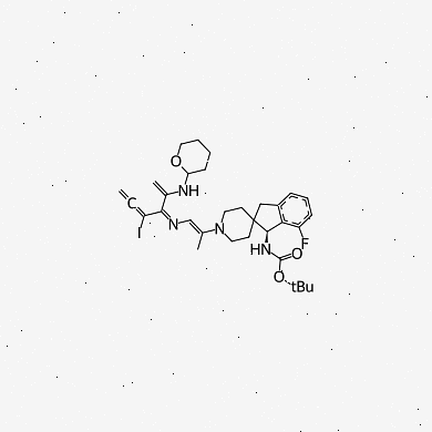 C=C=C(I)/C(=N/C=C(\C)N1CCC2(CC1)Cc1cccc(F)c1[C@H]2NC(=O)OC(C)(C)C)C(=C)NC1CCCCO1